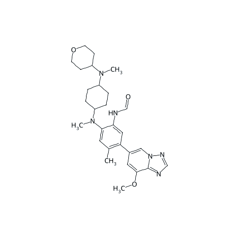 COc1cc(-c2cc(NC=O)c(N(C)C3CCC(N(C)C4CCOCC4)CC3)cc2C)cn2ncnc12